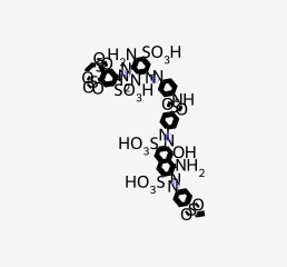 C=CS(=O)(=O)c1ccc(/N=N/c2c(S(=O)(=O)O)cc3cc(S(=O)(=O)O)c(/N=N/c4ccc(S(=O)(=O)Nc5ccc(/N=N/c6cc(S(=O)(=O)O)c(N)c(/N=N/c7cc8c(cc7S(=O)(=O)O)S(=O)(=O)OCCS8(=O)=O)c6N)cc5)cc4)c(O)c3c2N)cc1